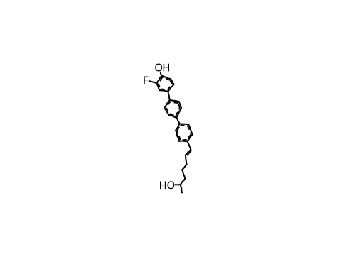 CC(O)CCCC=Cc1ccc(-c2ccc(-c3ccc(O)c(F)c3)cc2)cc1